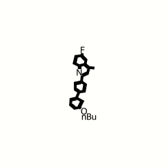 CCCCOc1cccc(-c2ccc(-c3cc(C)c4cc(F)ccc4n3)cc2)c1